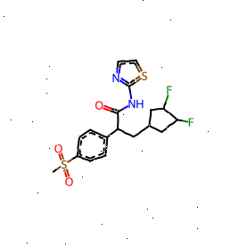 CS(=O)(=O)c1ccc(C(CC2CC(F)C(F)C2)C(=O)Nc2nccs2)cc1